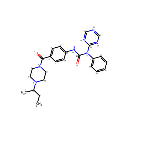 CCC(C)N1CCN(C(=O)c2ccc(NC(=O)N(c3ccccc3)c3ncncn3)cc2)CC1